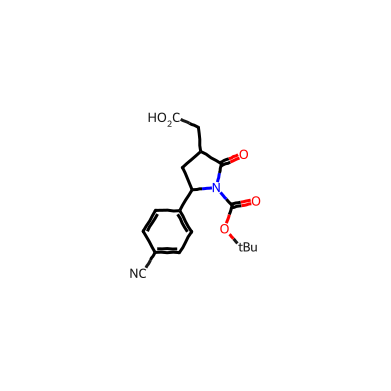 CC(C)(C)OC(=O)N1C(=O)C(CC(=O)O)CC1c1ccc(C#N)cc1